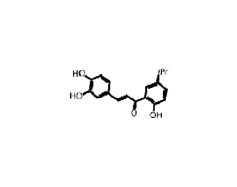 CC(C)c1ccc(O)c(C(=O)/C=C/c2ccc(O)c(O)c2)c1